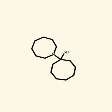 SC1(N2CCCCCCC2)CCCCCCC1